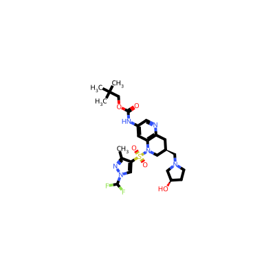 Cc1nn(C(F)F)cc1S(=O)(=O)N1C[C@H](CN2CC[C@@H](O)C2)Cc2ncc(NC(=O)OCC(C)(C)C)cc21